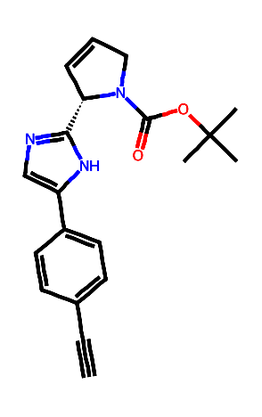 C#Cc1ccc(-c2cnc([C@@H]3C=CCN3C(=O)OC(C)(C)C)[nH]2)cc1